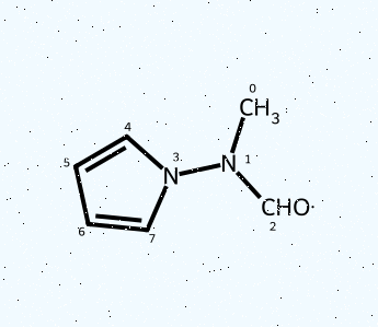 CN([C]=O)n1cccc1